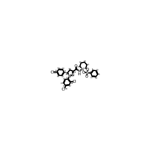 O=C(N[N+]1(OS(=O)(=O)c2ccccc2)CCCCC1)C1=NN(c2ccc(Cl)cc2Cl)[C@@H](c2ccc(Cl)cc2)C1